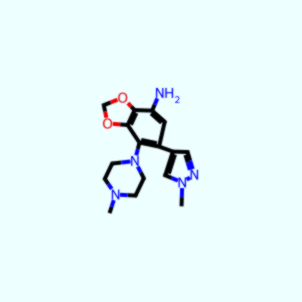 CN1CCN(c2c(-c3cnn(C)c3)cc(N)c3c2OCO3)CC1